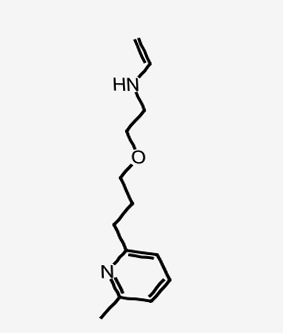 C=CNCCOCCCc1cccc(C)n1